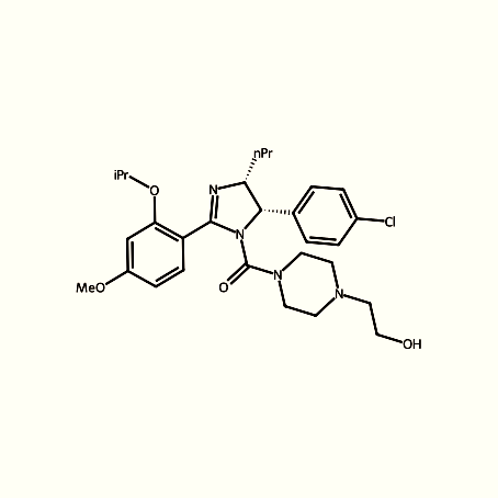 CCC[C@H]1N=C(c2ccc(OC)cc2OC(C)C)N(C(=O)N2CCN(CCO)CC2)[C@H]1c1ccc(Cl)cc1